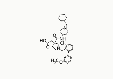 COc1cc(-c2cccc(Cl)c2CN2CC[C@](CC(=O)O)(C(=O)NC3CCN(CC4=CCCCC4)CC3)C2)ccn1